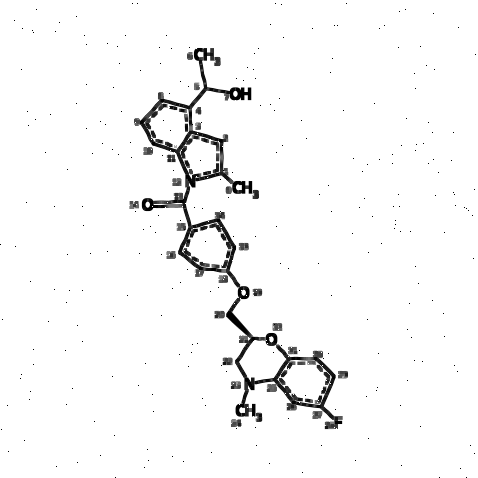 Cc1cc2c(C(C)O)cccc2n1C(=O)c1ccc(OC[C@@H]2CN(C)c3cc(F)ccc3O2)cc1